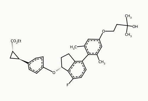 CCOC(=O)[C@H]1C[C@@H]1c1ccc(O[C@@H]2CCc3c(-c4c(C)cc(OCCC(C)(C)O)cc4C)ccc(F)c32)cc1